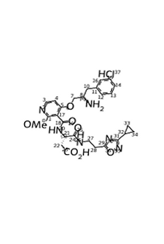 COc1nccc(OC[C@H](N)Cc2ccccc2)c1C(=O)N[C@@H](CC(=O)O)C(=O)NCCc1nc(C2CC2)no1.Cl